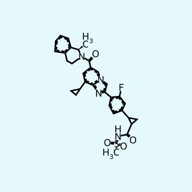 C[C@@H]1c2ccccc2CCN1C(=O)c1cc(C2CC2)c2nc(-c3ccc(C4CC4C(=O)NS(C)(=O)=O)cc3F)cn2c1